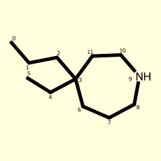 CCCC1(CC)CCCNCC1